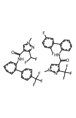 Cn1cc(C(=O)Nc2ccccc2-c2cc(F)ccc2F)c(C(F)(F)F)n1.Cn1cc(C(=O)Nc2ccccc2-c2ccc(C(F)(F)F)cc2)c(C(F)F)n1